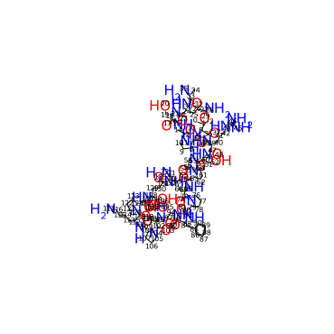 CC(C)[C@H](NC(=O)[C@@H]1CCCN1C(=O)CNC(=O)[C@H](CO)NC(=O)[C@H](CCC(N)=O)NC(=O)[C@H](C)N)C(=O)N[C@@H](CCCNC(=N)N)C(=O)N[C@@H](CO)C(=O)NCC(=O)N1CCC[C@H]1C(=O)N[C@@H](CCCCN)C(=O)N1CCC[C@H]1C(=O)N[C@@H](Cc1ccccc1)C(=O)N[C@@H](CO)C(=O)N[C@@H](C)C(=O)N1CCC[C@H]1C(=O)N[C@@H](CCCCN)C(=O)N1CCC[C@H]1C(=O)N[C@@H](CCC(N)=O)C(=O)O